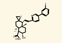 COC(=O)[C@]1(C)[C@H](O)CC[C@@]2(C)[C@H](/C=C/c3ccc(-c4cccc(F)c4)cn3)C3(CC[C@@H]21)CO3